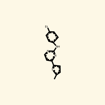 CCc1ccc(Nc2nccc(-c3ccc(C)s3)n2)cc1